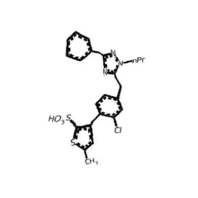 CCCn1nc(-c2ccccc2)nc1Cc1ccc(-c2cc(C)sc2S(=O)(=O)O)c(Cl)c1